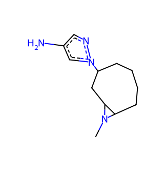 CN1C2CCCCC(n3cc(N)cn3)CC21